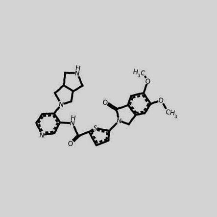 COc1cc2c(cc1OC)C(=O)N(c1ccc(C(=O)Nc3cnccc3N3CC4CNCC4C3)s1)C2